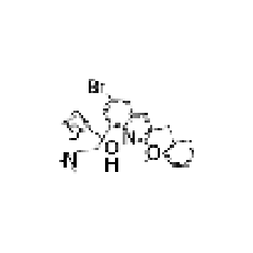 COc1nc2c(C(O)(CCN(C)C)c3cccs3)cc(Br)cc2cc1Cc1ccccc1